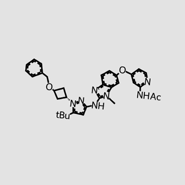 CC(=O)Nc1cc(Oc2ccc3nc(Nc4cc(C(C)(C)C)n([C@H]5C[C@H](OCc6ccccc6)C5)n4)n(C)c3c2)ccn1